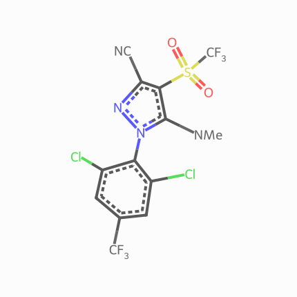 CNc1c(S(=O)(=O)C(F)(F)F)c(C#N)nn1-c1c(Cl)cc(C(F)(F)F)cc1Cl